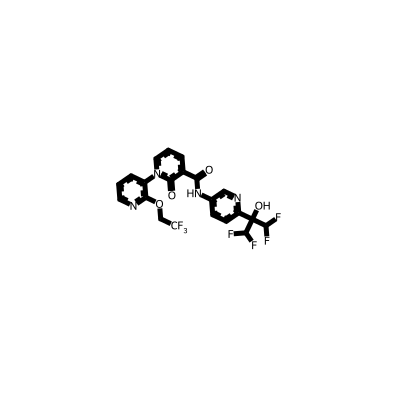 O=C(Nc1ccc(C(O)(C(F)F)C(F)F)nc1)c1cccn(-c2cccnc2OCC(F)(F)F)c1=O